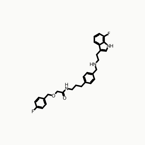 O=C(COCc1ccc(F)cc1)NCCCc1ccc(CNCCc2c[nH]c3c(F)cccc23)cc1